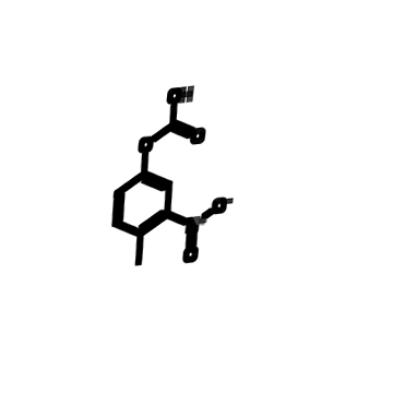 Cc1ccc(OC(=O)O)cc1[N+](=O)[O-]